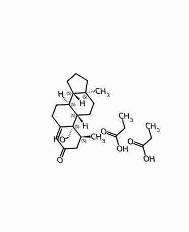 CCC(=O)O.CCC(=O)O.C[C@H]1CC(=O)C=C2CC[C@H]3[C@@H]4CCC[C@@]4(C)CC[C@@H]3[C@]21CO